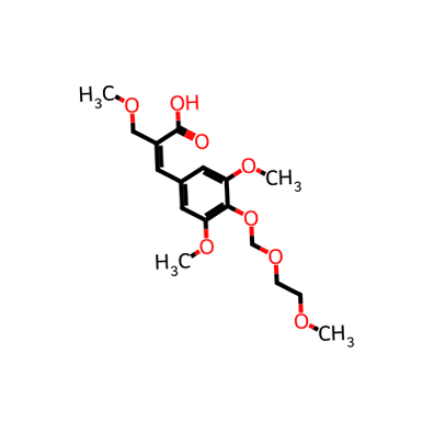 COCCOCOc1c(OC)cc(C=C(COC)C(=O)O)cc1OC